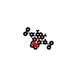 Cc1cc(-n2c3ccccc3c3ccccc32)cc(C)c1B(c1c(C)cc(-n2c3ccccc3c3ccccc32)cc1C)c1cc(C(C)C)c2ccc3c(C(C)C)cc(B(c4c(C)cc(-n5c6ccccc6c6ccccc65)cc4C)c4c(C)cc(-n5c6ccccc6c6ccccc65)cc4C)c4ccc1c2c43